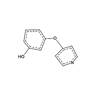 Oc1cccc(Oc2ccncc2)c1